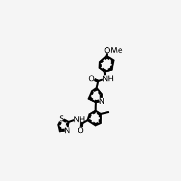 COc1ccc(NC(=O)c2ccc(-c3cc(C(=O)Nc4nccs4)ccc3C)nc2)cc1